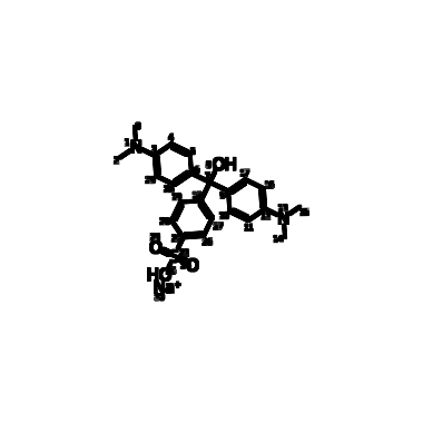 CN(C)c1ccc(C(O)(c2ccc(N(C)C)cc2)c2ccc(S(=O)(=O)O)cc2)cc1.[Na+]